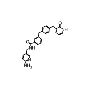 Nc1ccc(CNC(=O)c2cccc(Cc3ccc(Cc4ccc[nH]c4=O)cc3)c2)cn1